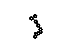 CC1(C)c2ccccc2-c2cc3ccc4ccc(-c5ccc(-c6ccc(-n7c8ccccc8c8ccccc87)cc6)cc5)cc4c3cc21